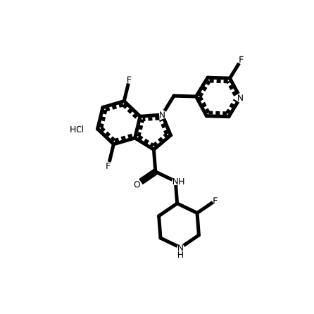 Cl.O=C(NC1CCNCC1F)c1cn(Cc2ccnc(F)c2)c2c(F)ccc(F)c12